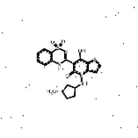 C[C@H]1CCC(Nn2c(=O)c(C3=NS(=O)(=O)c4ccccc4N3)c(O)c3sccc32)C1